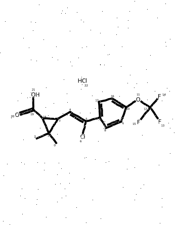 CC1(C)C(C=C(Cl)c2ccc(OC(F)(F)F)cc2)C1C(=O)O.Cl